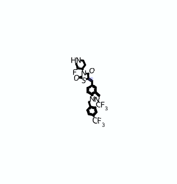 O=C1S/C(=C\c2ccc3c(cnn3Cc3ccc(C(F)(F)F)cc3C(F)(F)F)c2)C(=O)N1C1CCNC[C@@H]1F